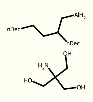 CCCCCCCCCCCCC([CH2][AlH2])CCCCCCCCCC.NC(CO)(CO)CO